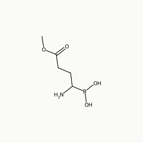 COC(=O)CCC(N)B(O)O